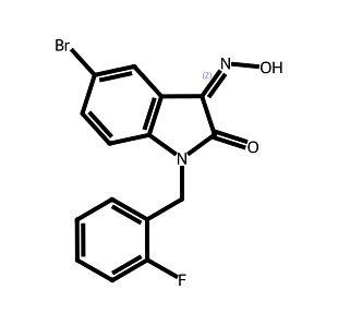 O=C1/C(=N\O)c2cc(Br)ccc2N1Cc1ccccc1F